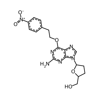 Nc1nc(OCCc2ccc([N+](=O)[O-])cc2)c2ncn(C3CCC(CO)O3)c2n1